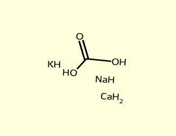 O=C(O)O.[CaH2].[KH].[NaH]